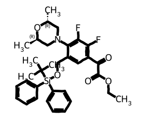 CCOC(=O)C(=O)c1cc(CO[Si](c2ccccc2)(c2ccccc2)C(C)(C)C)c(N2C[C@@H](C)O[C@H](C)C2)c(F)c1F